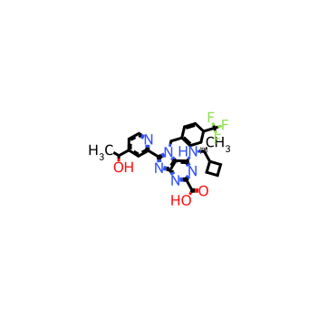 CC(O)c1ccnc(-c2nc3nc(C(=O)O)nc(N[C@H](C)C4CCC4)c3n2CC2=CCC(C(F)(F)F)C=C2)c1